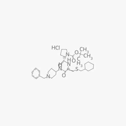 CC(C)(C)OC(=O)N1CCC[C@H]1C(=O)N[C@@H](CSCC1CCCCC1)C(=O)NC1CCN(Cc2ccccc2)CC1.Cl